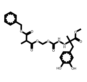 COC(=O)C(C)(Cc1ccc(O)c(O)c1)NNC(=O)OCOC(=O)C(C)C(=O)OCc1ccccc1